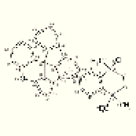 CC1(C)CCC(C)(C)c2cc(Nc3cccc4c3C3(c5ccccc5O4)c4ccccc4-c4ccccc43)ccc21